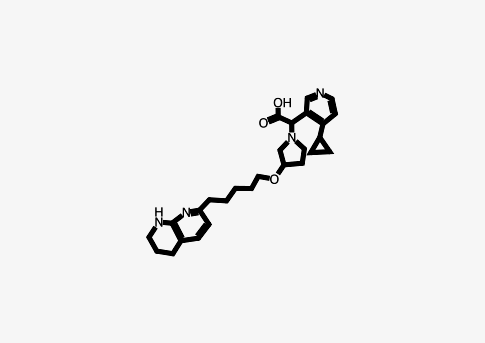 O=C(O)C(c1cnccc1C1CC1)N1CCC(OCCCCCc2ccc3c(n2)NCCC3)C1